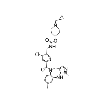 Cc1ccc2c(c1)Nc1c(cnn1C)CN2C(=O)c1ccc(CNC(=O)OC2CCN(CC3CC3)CC2)c(Cl)c1